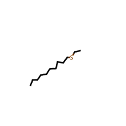 CCCCCCCCCCSCC